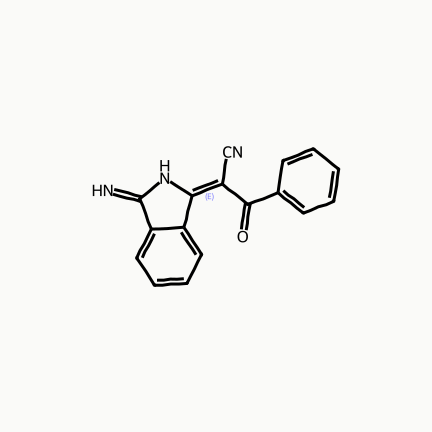 N#C/C(C(=O)c1ccccc1)=C1\NC(=N)c2ccccc21